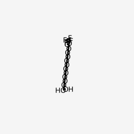 O=C(CCOCCOCCOCCOCCOCCOCCOCCOCCOCCOCCC(O)O)Oc1c(F)c(F)cc(F)c1F